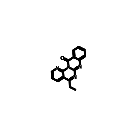 CCc1nc2nc3ccccc3c(=O)n2c2ncccc12